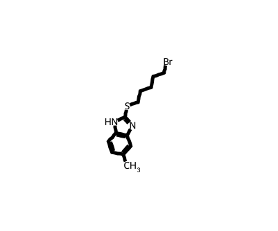 Cc1ccc2[nH]c(SCCCCCBr)nc2c1